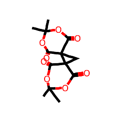 CC1(C)OC(=O)C2(CC23C(=O)OC(C)(C)OC3=O)C(=O)O1